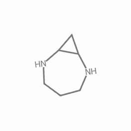 C1CNC2CC2NC1